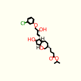 CC(C)OC(=O)CCC[C@@H]1CC[C@@H]2[C@@H](C=C[C@@H](O)COc3cccc(Cl)c3)[C@H](O)C[C@@H]2OC1